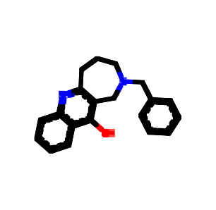 Oc1c2c(nc3ccccc13)CCCN(Cc1ccccc1)C2